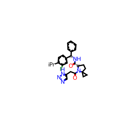 CC(C)c1ccc([C@@H](NC(=O)[C@@H]2CCC3(CC3)N2C(=O)Cc2cnn[nH]2)c2ccccc2)cc1F